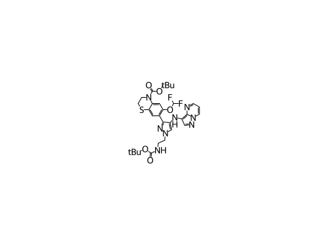 CC(C)(C)OC(=O)NCCn1cc(Nc2cnn3cccnc23)c(-c2cc3c(cc2OC(F)F)N(C(=O)OC(C)(C)C)CCS3)n1